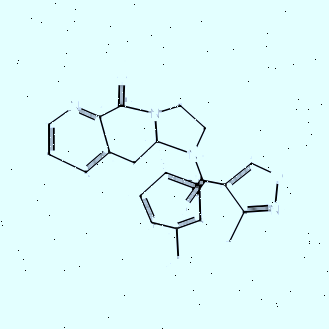 Cc1nocc1C(=O)N1CCN2C(=O)c3ncccc3C[C@]12c1ccc(F)cc1